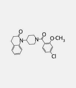 COc1cc(Cl)ccc1C(=O)N1CCC(N2C(=O)CCc3ccccc32)CC1